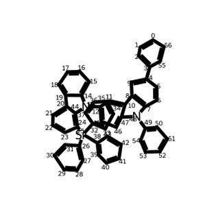 c1ccc(-c2ccc3c(c2)c2cc(-n4c5ccccc5c5cccc([Si](c6ccccc6)(c6ccccc6)c6ccccc6)c54)ccc2n3-c2ccccc2)cc1